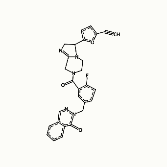 C#Cc1ccc(C2CN=C3CN(C(=O)c4cc(Cn5ncc6ccccc6c5=O)ccc4F)CCN32)o1